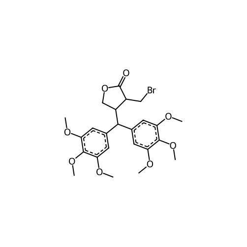 COc1cc(C(c2cc(OC)c(OC)c(OC)c2)C2COC(=O)C2CBr)cc(OC)c1OC